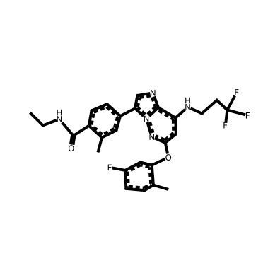 CCNC(=O)c1ccc(-c2cnc3c(NCCC(F)(F)F)cc(Oc4cc(F)ccc4C)nn23)cc1C